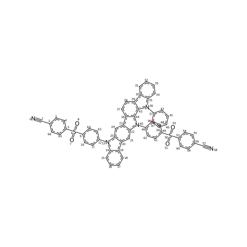 N#Cc1ccc(S(=O)(=O)c2ccc(-n3c4ccccc4c4cc5c(cc43)c3ccc4c6ccccc6n(-c6ccccc6)c4c3n5-c3ccc(S(=O)(=O)c4ccc(C#N)cc4)cc3)cc2)cc1